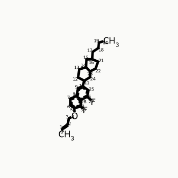 C/C=C/COc1ccc2cc(C3CCC4CC(CCCC)CCC4C3)cc(F)c2c1F